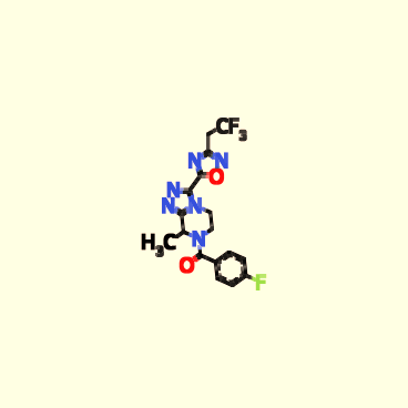 CC1c2nnc(-c3nc(CC(F)(F)F)no3)n2CCN1C(=O)c1ccc(F)cc1